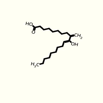 C=C(CCCCCCCC(=O)O)C(O)=CCCCCCCCC